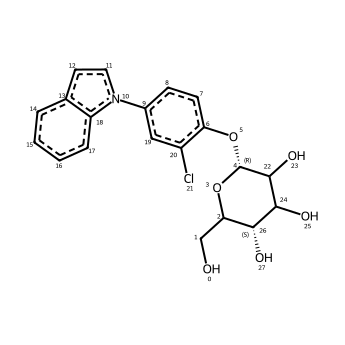 OCC1O[C@H](Oc2ccc(-n3ccc4ccccc43)cc2Cl)C(O)C(O)[C@@H]1O